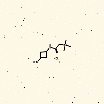 C[N+](C)(C)CC(=O)NC1CC(N)C1.Cl.[I-]